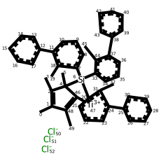 CC1=C(C)C(C)([Si](c2cccc(-c3ccccc3)c2C)(c2cccc(-c3ccccc3)c2C)c2cccc(-c3ccccc3)c2C)[C]([Ti+3])=C1C.[Cl-].[Cl-].[Cl-]